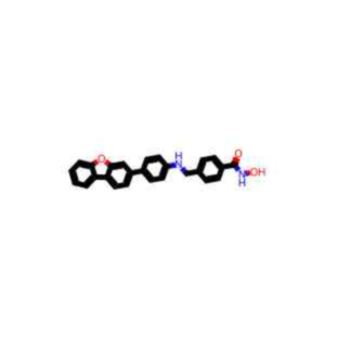 O=C(NO)c1ccc(CNc2ccc(-c3ccc4c(c3)oc3ccccc34)cc2)cc1